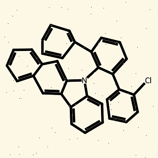 Clc1ccccc1-c1cccc(-c2ccccc2)c1-n1c2ccccc2c2cc3ccccc3cc21